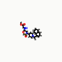 COC(=O)CNC(=O)CN(C1CCN(C(C)c2cccc3ccccc23)CC1)[S+](C)[O-]